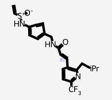 C=C[S+]([O-])Nc1ccc(CNC(=O)/C=C/c2ccc(C(F)(F)F)nc2CC(C)C)cc1